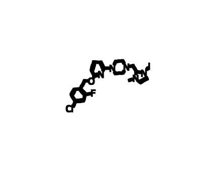 CN1C=CN(I)C1CN1CCN(c2cccc(OCc3ccc(Cl)cc3F)n2)CC1